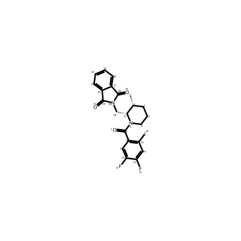 C[C@@H]1CCCN(C(=O)c2cc(F)c(F)cc2I)[C@@H]1CN1C(=O)c2ccccc2C1=O